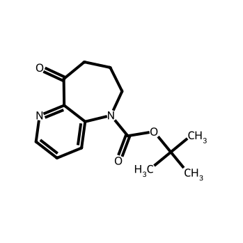 CC(C)(C)OC(=O)N1CCCC(=O)c2ncccc21